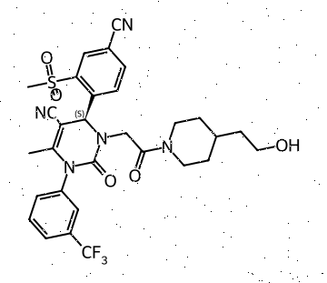 CC1=C(C#N)[C@@H](c2ccc(C#N)cc2S(C)(=O)=O)N(CC(=O)N2CCC(CCO)CC2)C(=O)N1c1cccc(C(F)(F)F)c1